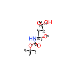 CC(C)(C)OC(=O)N[C@H](C=O)CCC(=O)O